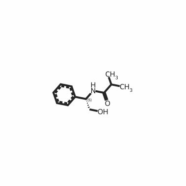 CC(C)C(=O)N[C@H](CO)c1ccccc1